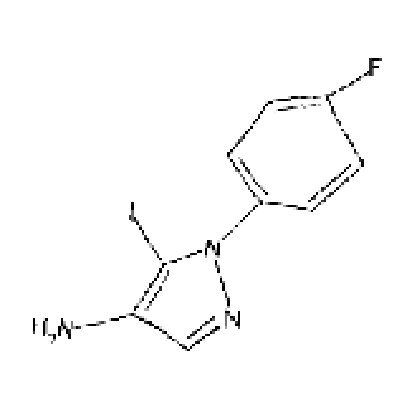 Nc1cnn(-c2ccc(F)cc2)c1I